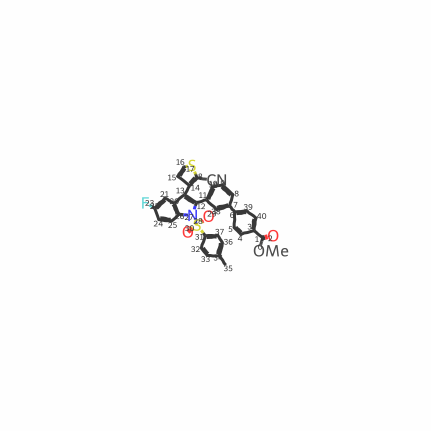 COC(=O)c1ccc(-c2cccc(-c3c(-c4ccsc4C#N)c4cc(F)ccc4n3S(=O)(=O)c3ccc(C)cc3)c2)cc1